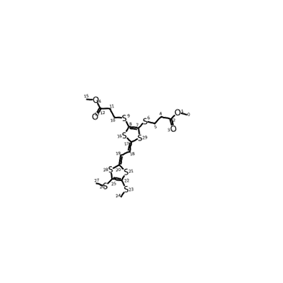 COC(=O)CCSC1=C(SCCC(=O)OC)SC(=CC=C2SC(SC)=C(SC)S2)S1